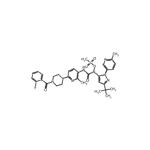 Cc1ccc(-n2nc(C(C)(C)C)cc2N(OS(C)(=O)=O)C(=O)Nc2ccc(N3CCN(C(=O)c4ccccc4F)CC3)nc2C)cn1